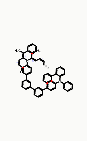 C=C/C=C\C(=C(/C)c1ccccc1)N(/C(C=C)=C/C=C\C)c1ccc(-c2cccc(-c3cccc(-c4ccc(N(c5ccccc5)c5ccccc5-c5ccccc5)cc4)c3)c2)cc1